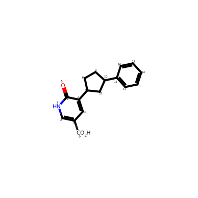 O=C(O)c1c[nH]c(=O)c(C2CCC(c3ccccc3)C2)c1